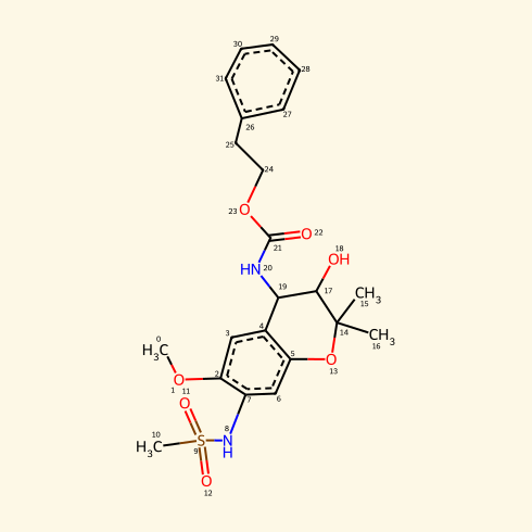 COc1cc2c(cc1NS(C)(=O)=O)OC(C)(C)C(O)C2NC(=O)OCCc1ccccc1